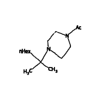 CCCCCCC(C)(C)N1CCN(C(C)=O)CC1